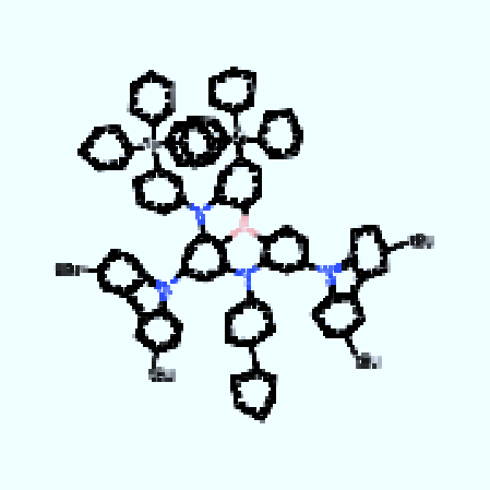 CC(C)(C)c1ccc2c(c1)c1cc(C(C)(C)C)ccc1n2-c1ccc2c(c1)N(c1ccc(-c3ccccc3)cc1)c1cc(-n3c4ccc(C(C)(C)C)cc4c4cc(C(C)(C)C)ccc43)cc3c1B2c1ccc([Si](c2ccccc2)(c2ccccc2)c2ccccc2)cc1N3c1cccc([Si](c2ccccc2)(c2ccccc2)c2ccccc2)c1